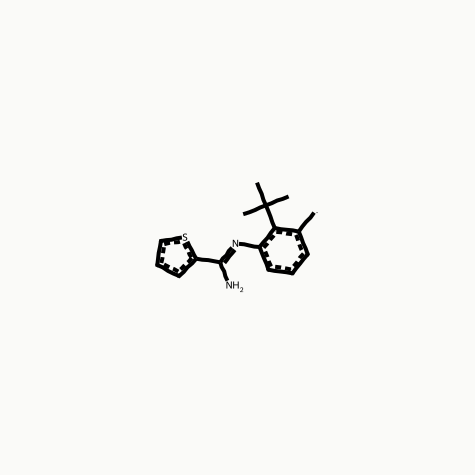 [CH2]c1cccc(/N=C(\N)c2cccs2)c1C(C)(C)C